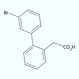 O=C(O)Cc1ccccc1-c1cccc(Br)c1